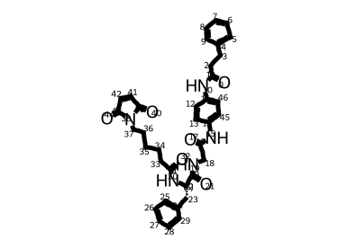 O=C(CCc1ccccc1)Nc1ccc(NC(=O)CNC(=O)[C@H](Cc2ccccc2)NC(=O)CCCCCN2C(=O)C=CC2=O)cc1